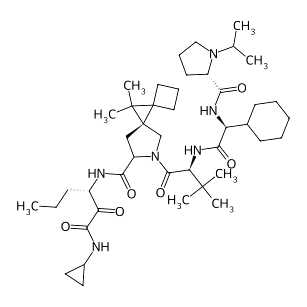 CCC[C@H](NC(=O)C1C[C@@]2(CN1C(=O)[C@@H](NC(=O)[C@@H](NC(=O)[C@@H]1CCCN1C(C)C)C1CCCCC1)C(C)(C)C)C(C)(C)C21CCC1)C(=O)C(=O)NC1CC1